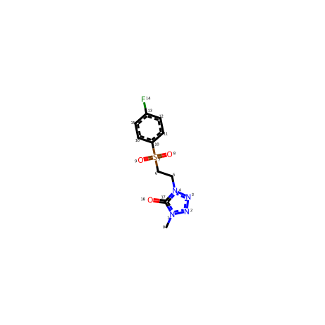 Cn1nnn(CCS(=O)(=O)c2ccc(F)cc2)c1=O